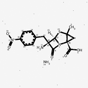 CC12C[C@]1(C(=O)O)N1C(=O)[C@](N)(Cc3ccc([N+](=O)[O-])cc3)[C@H]1S2.N